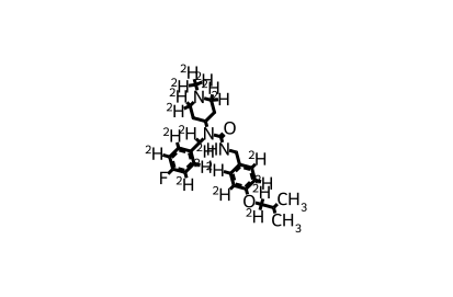 [2H]c1c([2H])c(C([2H])([2H])N(C(=O)NCc2c([2H])c([2H])c(OC([2H])([2H])C(C)C)c([2H])c2[2H])C2CC([2H])([2H])N(C([2H])([2H])[2H])C([2H])([2H])C2)c([2H])c([2H])c1F